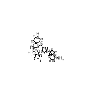 CC(C)C(=O)O[C@H]1C[C@H](c2ccc3c(N)ncnn23)O[C@@H]1CN1CC(F)(F)CC12CCNCC2